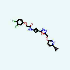 O=C(COc1ccc(Cl)c(F)c1)NC12CC(c3nnc(COc4ccc(C5CC5)nc4)o3)(C1)C2